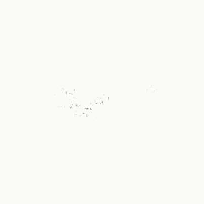 CC[C@H](C)[C@@H]([C@@H](CC(=O)N1CCC[C@H]1[C@H](OC)[C@@H](C)C(=O)NS(=O)(=O)c1ccc(NC(=O)CCOCCOCCOCCN2C(=O)C=CC2=O)cc1)OC)N(C)C(=O)[C@@H](NC(=O)[C@H](C(C)C)N(C)C)C(C)C